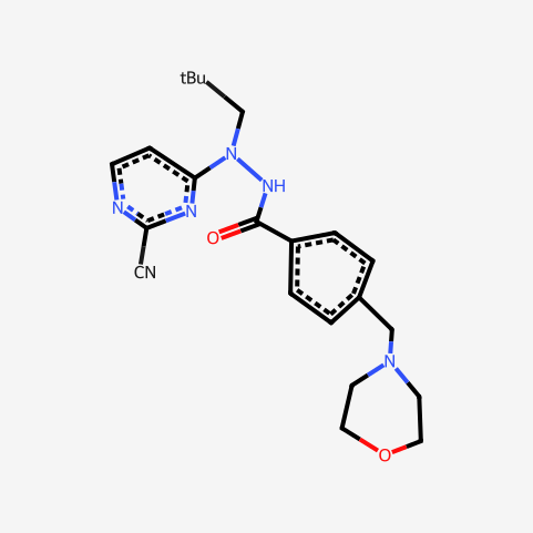 CC(C)(C)CN(NC(=O)c1ccc(CN2CCOCC2)cc1)c1ccnc(C#N)n1